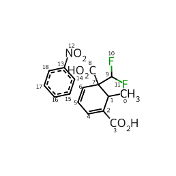 CC1C(C(=O)O)=CC=CC1(C(=O)O)C(F)F.O=[N+]([O-])c1ccccc1